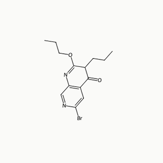 CCCOC1=Nc2cnc(Br)cc2C(=O)C1CCC